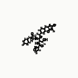 Cc1ccc(CNC(=O)[C@H](CCc2ccc(C=C3SC(=O)N(C)C3=O)cc2)NC(=O)[C@@H](NC(=O)c2cc(C)on2)[C@@H](C)O)cc1